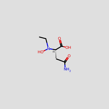 CCN(O)[C@@H](CC(N)=O)C(=O)O